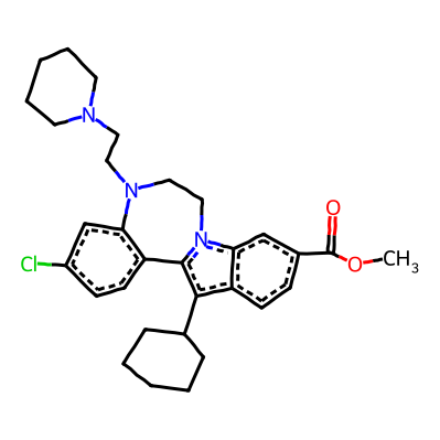 COC(=O)c1ccc2c(C3CCCCC3)c3n(c2c1)CCN(CCN1CCCCC1)c1cc(Cl)ccc1-3